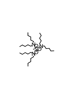 CCCCCN(CCCCC)O[Si](C)(ON(CCCCC)CCCCC)ON(CCCCC)CCCCC